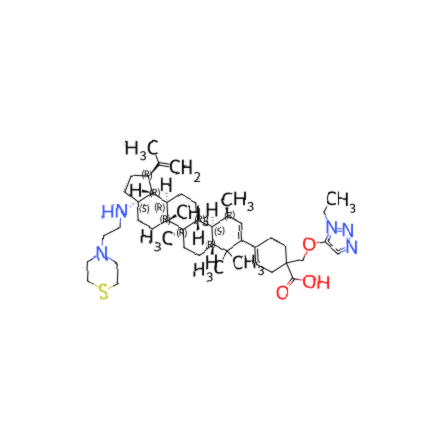 C=C(C)[C@@H]1CC[C@]2(NCCN3CCSCC3)CC[C@]3(C)[C@H](CC[C@@H]4[C@@H]5[C@@H](CC[C@]43C)C(C)(C)C(C3=CCC(COc4cnnn4CC)(C(=O)O)CC3)=C[C@@H]5C)[C@@H]12